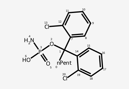 CCCCCC(OP(N)(=O)O)(c1ccccc1Cl)c1ccccc1Cl